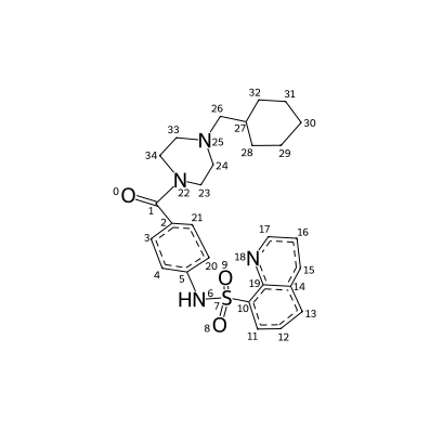 O=C(c1ccc(NS(=O)(=O)c2cccc3cccnc23)cc1)N1CCN(CC2CCCCC2)CC1